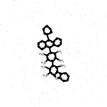 Bc1c(B)c(-c2c3ccccc3c(-c3ccccc3)c3ccccc23)c(B)c(B)c1-c1c(B)c(B)c2oc3ccccc3c2c1B